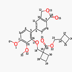 COc1ccc(-c2ccc3c(c2)COC3=O)c(OCC2(C(=O)OCC3CCC3)CCC2)c1OC